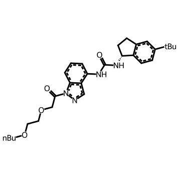 CCCCOCCOCC(=O)n1ncc2c(NC(=O)N[C@@H]3CCc4cc(C(C)(C)C)ccc43)cccc21